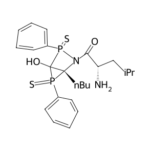 CCCC[C@]12N(C(=O)[C@@H](N)CC(C)C)P(=S)(c3ccccc3)C1(O)P2(=S)c1ccccc1